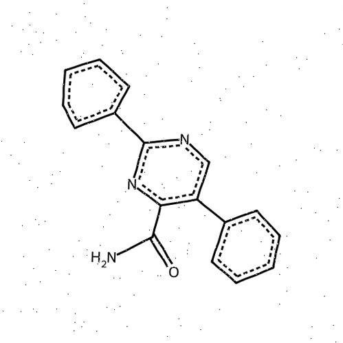 NC(=O)c1nc(-c2ccccc2)ncc1-c1ccccc1